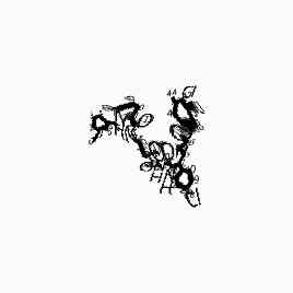 Cc1cccc(Cn2cccc2C(=O)NCCS(=O)(=O)NC(O)c2[nH]c3cc(Cl)ccc3c2CCCOc2cc(C)c(Cl)c(C)c2)c1